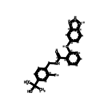 CC(C)(O)c1ccc(CNC(=O)c2cccnc2Oc2ccc3nonc3c2)c(F)c1